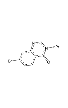 CCCn1cnc2cc(Br)ccc2c1=O